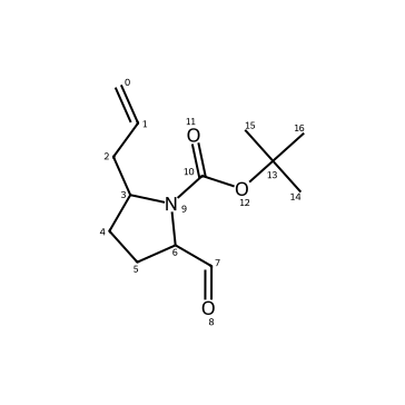 C=CCC1CCC(C=O)N1C(=O)OC(C)(C)C